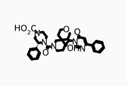 O=C(O)N1CCN(C(=O)N2CCC(O)(Cn3cnc(-c4ccccc4)cc3=O)C3(CCOCC3)C2)[C@H](c2ccccc2)C1